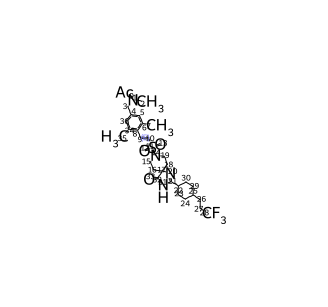 CC(=O)N(C)Cc1cc(C)c(/C=C/S(=O)(=O)N2CCC3(CC2)N=C(C2CCC(CCC(F)(F)F)CC2)NC3=O)c(C)c1